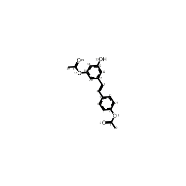 CC(=O)Oc1ccc(/C=C/c2cc(O)cc(OC(C)=O)c2)cc1